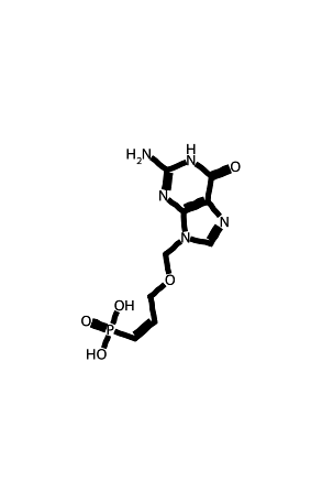 Nc1nc2c(ncn2COC/C=C\P(=O)(O)O)c(=O)[nH]1